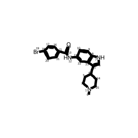 CN1CCC(c2c[nH]c3ccc(NC(=O)c4ccc(Br)cc4)cc23)CC1